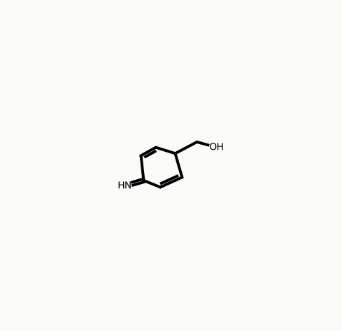 N=C1C=CC(CO)C=C1